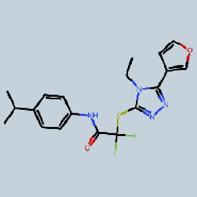 CCn1c(SC(F)(F)C(=O)Nc2ccc(C(C)C)cc2)nnc1-c1ccoc1